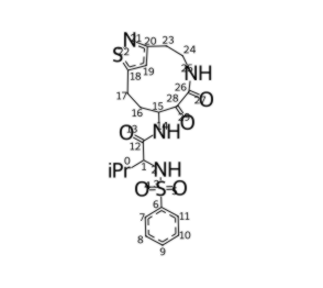 CC(C)C(NS(=O)(=O)c1ccccc1)C(=O)NC1CCc2cc(ns2)CCNC(=O)C1=O